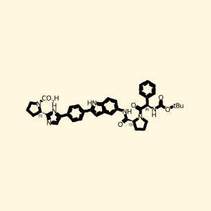 CC(C)(C)OC(=O)N[C@@H](C(=O)N1CCC[C@H]1C(=O)Nc1ccc2[nH]c(-c3ccc(-c4cnc([C@@H]5CCCN5C(=O)O)[nH]4)cc3)cc2c1)c1ccccc1